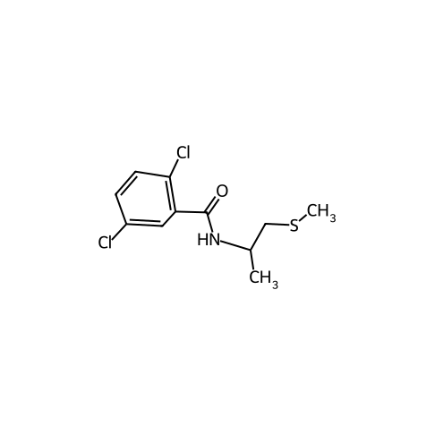 CSCC(C)NC(=O)c1cc(Cl)ccc1Cl